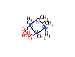 C=Cc1c2nc(cc3[nH]c(cc4nc(cc5[nH]c1cc5C)C(C)=C4CCC(=O)O)c(CCC(=O)O)c3C)C=C2C